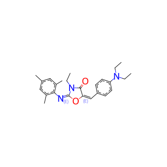 CCN1C(=O)/C(=C\c2ccc(N(CC)CC)cc2)O/C1=N/c1c(C)cc(C)cc1C